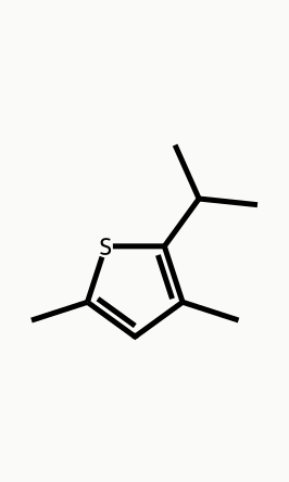 Cc1cc(C)c(C(C)C)s1